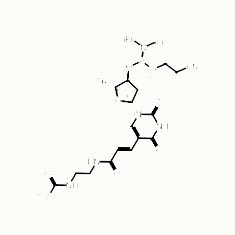 CC[C@H]1O[C@@H](n2cc(/C=C/C(=O)NCCNC(=O)C(F)(F)F)c(=O)[nH]c2=O)CC1OP(OCCC#N)N(C(C)C)C(C)C